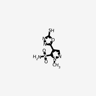 Cn1ncc(-c2nnc(S)o2)c1S(N)(=O)=O